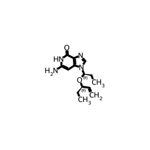 C=C[C@@H](CC)O[C@H](CC)n1cnc2c(=O)[nH]c(N)cc21